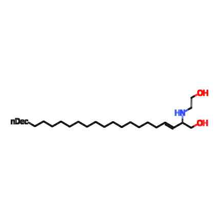 CCCCCCCCCCCCCCCCCCCCCCCCC/C=C/C(CO)NCCO